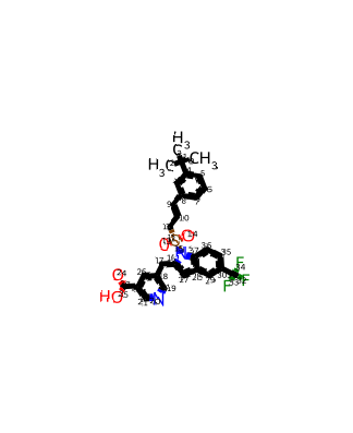 CC(C)(C)c1cccc(C=CCS(=O)(=O)n2c(Cc3cncc(C(=O)O)c3)cc3cc(C(F)(F)F)ccc32)c1